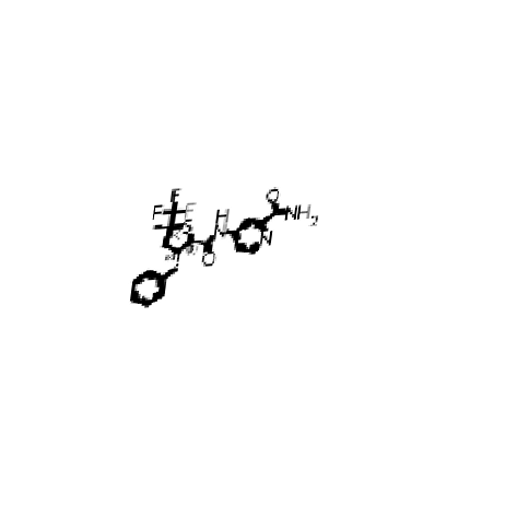 C[C@]1(C(F)(F)F)C[C@@H](Cc2ccccc2)[C@H](C(=O)Nc2ccnc(C(N)=O)c2)S1